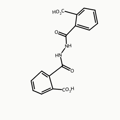 O=C(O)c1ccccc1C(=O)NNC(=O)c1ccccc1C(=O)O